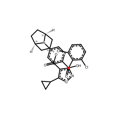 O=C(O)c1ncc(N2[C@@H]3CC[C@H]2C[C@H](OC(=O)c2c(-c4c(Cl)cccc4Cl)noc2C2CC2)C3)cn1